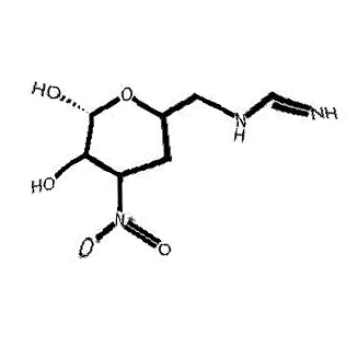 N=CNCC1CC([N+](=O)[O-])C(O)[C@H](O)O1